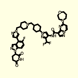 O=C1CCC(n2ncc3c(-c4cnn(CC5CCN(CC6CCC(n7cc(NC(=O)c8cnn9ccc(N%10CCCOCC%10)nc89)c(C(F)F)n7)CC6)CC5)c4)c(F)ccc32)C(=O)N1